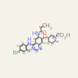 C=CC(=O)Nc1cc2c(Nc3ccc(Br)cc3F)ncnc2cc1OC1CCCN(C(=O)O)C1